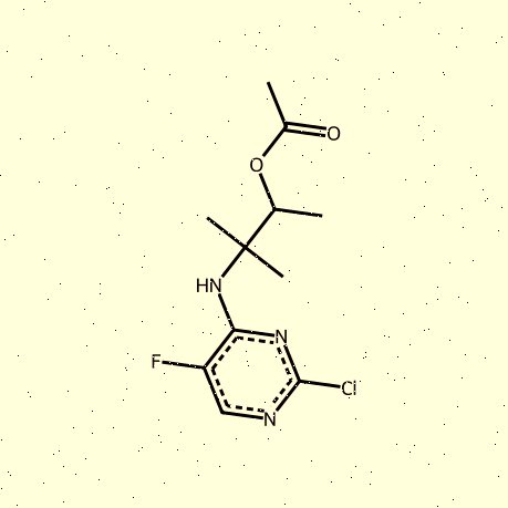 CC(=O)OC(C)C(C)(C)Nc1nc(Cl)ncc1F